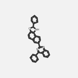 c1ccc(-c2nc(-c3ccc4c5c(ccc4c3)OC(c3ccccc3)N5)nc3ccccc23)cc1